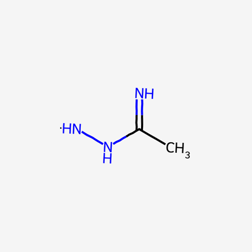 CC(=N)N[NH]